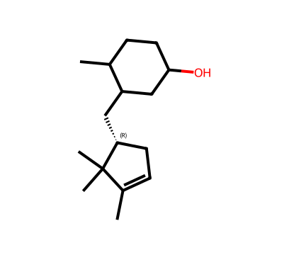 CC1=CC[C@@H](CC2CC(O)CCC2C)C1(C)C